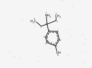 CCC(N)(CC)c1ccc(O)cc1